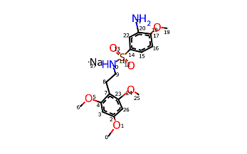 COc1cc(OC)c(CCNS(=O)(=O)c2ccc(OC)c(N)c2)c(OC)c1.[Na]